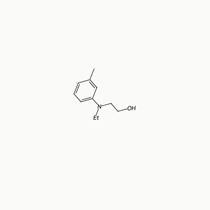 CCN(CCO)c1cc[c]c(C)c1